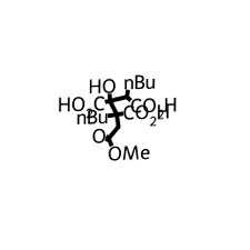 CCCCC(C(=O)O)C(O)(C(=O)O)C(CCCC)(CC(=O)OC)C(=O)O